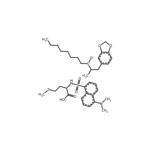 CCCCCCCC[S+]([O-])C(C)Cc1ccc2c(c1)OCO2.CSCCC(NS(=O)(=O)c1cccc2c(N(C)C)cccc12)C(=O)O